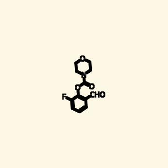 O=Cc1cccc(F)c1OC(=O)N1CCOCC1